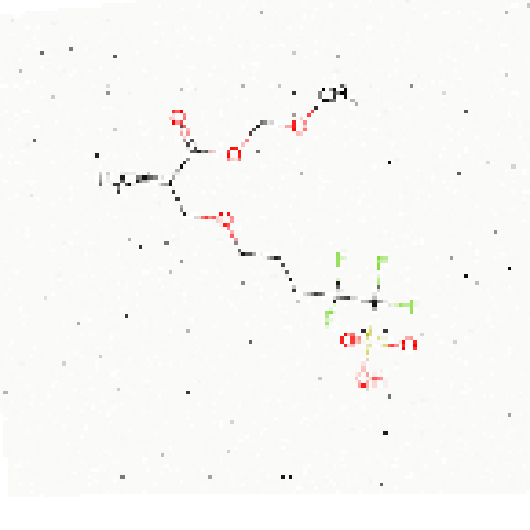 C=C(COCCCC(F)(F)C(F)(F)S(=O)(=O)O)C(=O)OCOC